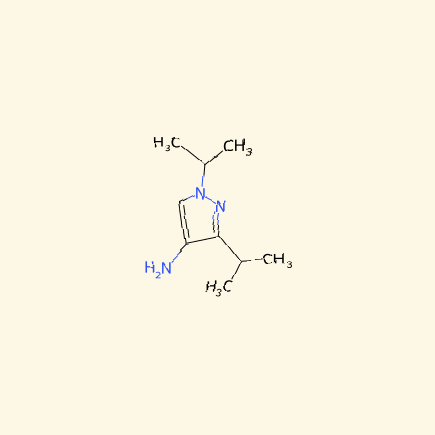 CC(C)c1nn(C(C)C)cc1N